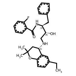 CCc1ccc2c(c1)[C@@H](NC[C@@H](O)[C@H](Cc1ccccc1)NC(=O)c1ccccc1F)CC(C)(C)O2